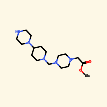 CC(C)(C)OC(=O)CN1CCN(CN2CCC(N3CCNCC3)CC2)CC1